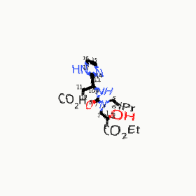 CCOC(=O)C(O)CN(CC(C)C)C(=O)NC(CC(=O)O)c1ncc[nH]1